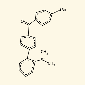 C[S+](C)c1ccccc1-c1ccc(C(=O)c2ccc(C(C)(C)C)cc2)cc1